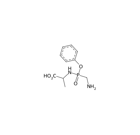 CC(NP(=O)(CN)Oc1ccccc1)C(=O)O